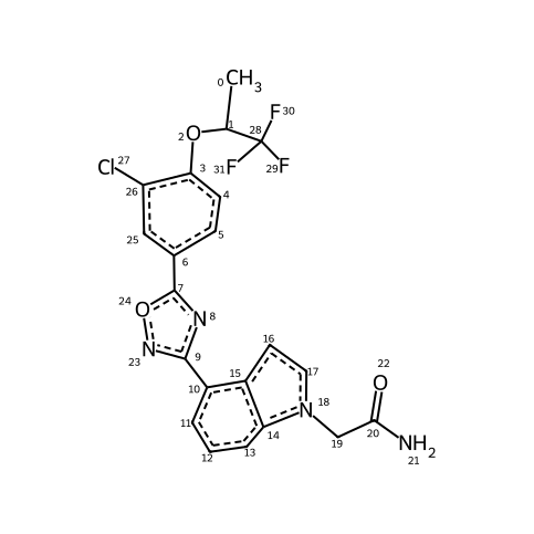 CC(Oc1ccc(-c2nc(-c3cccc4c3ccn4CC(N)=O)no2)cc1Cl)C(F)(F)F